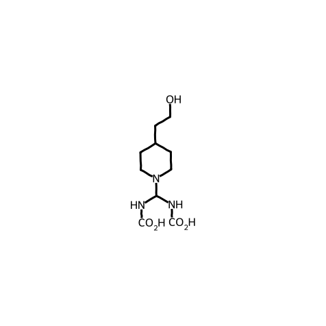 O=C(O)NC(NC(=O)O)N1CCC(CCO)CC1